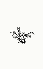 Cc1c(C#N)c(N)c(N)c(N2CC[C@H](N(C)C)C2)c1-c1ccccc1